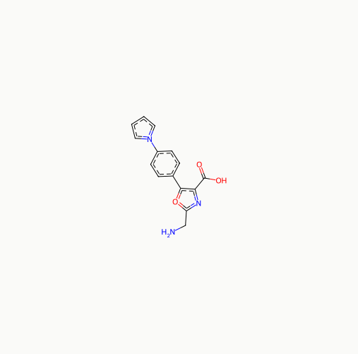 NCc1nc(C(=O)O)c(-c2ccc(-n3cccc3)cc2)o1